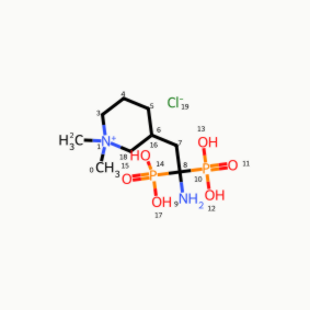 C[N+]1(C)CCCC(CC(N)(P(=O)(O)O)P(=O)(O)O)C1.[Cl-]